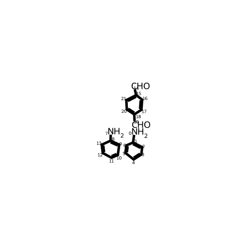 Nc1ccccc1.Nc1ccccc1.O=Cc1ccc(C=O)cc1